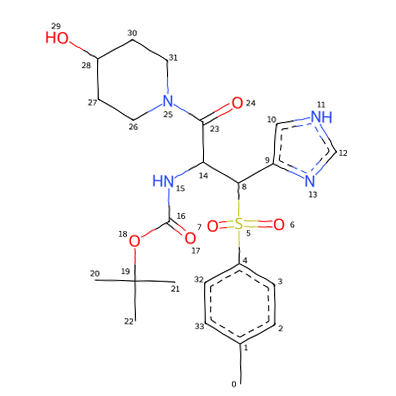 Cc1ccc(S(=O)(=O)C(c2c[nH]cn2)C(NC(=O)OC(C)(C)C)C(=O)N2CCC(O)CC2)cc1